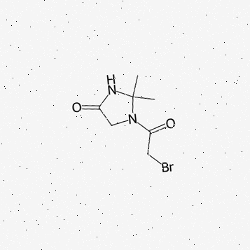 CC1(C)NC(=O)CN1C(=O)CBr